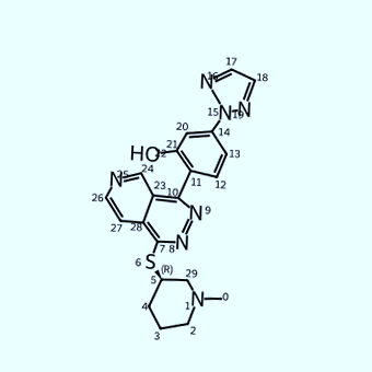 CN1CCC[C@@H](Sc2nnc(-c3ccc(-n4nccn4)cc3O)c3cnccc23)C1